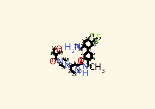 C[C@@H](NC(=O)c1cc(N2CCN(C(=O)C3CCOC3)CC2)ccn1)c1ccc(-c2cc(C(F)(F)F)ccc2CN)cc1